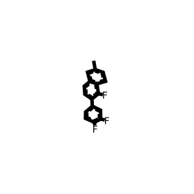 Cc1ccc2c(F)c(-c3ccc(F)c(F)c3)ccc2c1